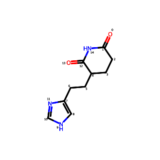 O=C1CCC(CCc2c[nH]cn2)C(=O)N1